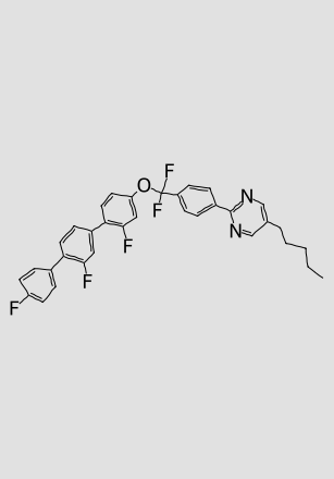 CCCCCc1cnc(-c2ccc(C(F)(F)Oc3ccc(-c4ccc(-c5ccc(F)cc5)c(F)c4)c(F)c3)cc2)nc1